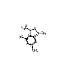 Cc1cc(Br)c2c(c1)N(C(C)C)CC2C